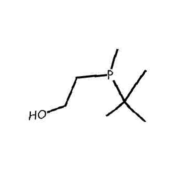 CP(CCO)C(C)(C)C